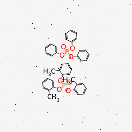 Cc1ccccc1OP(=O)(Oc1ccccc1C)Oc1ccccc1C.O=P(Oc1ccccc1)(Oc1ccccc1)Oc1ccccc1